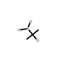 CC(C)(Cl)P(Cl)Cl